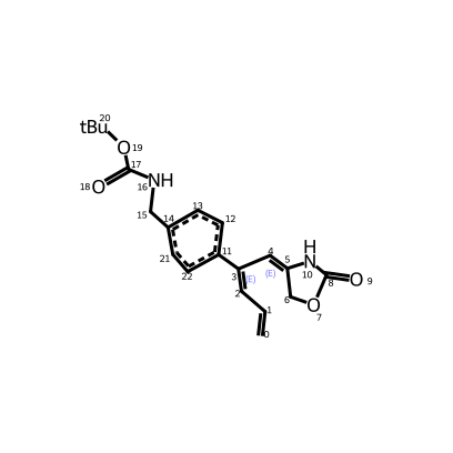 C=C/C=C(\C=C1/COC(=O)N1)c1ccc(CNC(=O)OC(C)(C)C)cc1